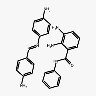 Nc1ccc(N=Nc2ccc(N)cc2)cc1.Nc1cccc(C(=O)Nc2ccccc2)c1N